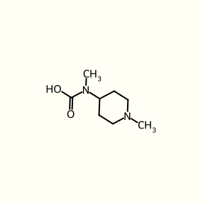 CN1CCC(N(C)C(=O)O)CC1